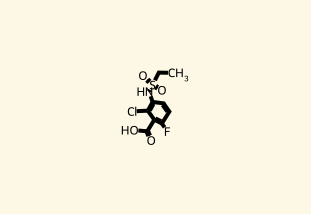 CCS(=O)(=O)Nc1ccc(F)c(C(=O)O)c1Cl